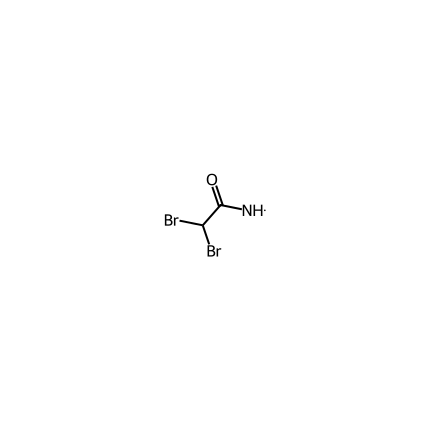 [NH]C(=O)C(Br)Br